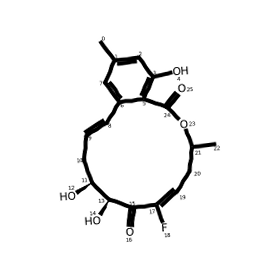 Cc1cc(O)c2c(c1)/C=C/C[C@H](O)[C@H](O)C(=O)C(F)=CCC(C)OC2=O